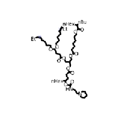 CC/C=C\CCCCOC(CCC(=O)OCC(COC(=O)CCCCCCOC(=O)C(CCCC)CCCCCC)COC(=O)CCC(CCCCCC)OC(=O)NCCN1CCCCC1)OCCCC/C=C\CC